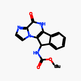 CC(C)(C)OC(=O)NC1c2ccccc2-c2[nH]c(=O)c3nccn3c21